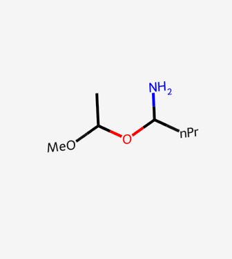 CCCC(N)OC(C)OC